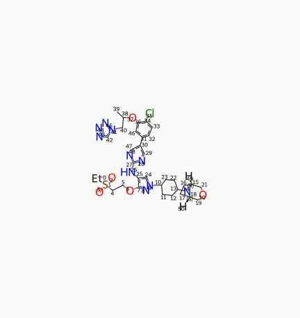 CCS(=O)(=O)CCOc1nn(C2CCC(N3[C@@H]4CC[C@H]3COC4)CC2)cc1Nc1ncc(-c2ccc(Cl)c(OC(C)Cn3cnnn3)c2)cn1